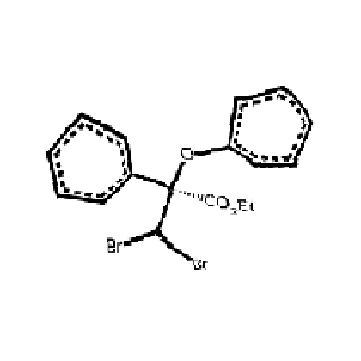 CCOC(=O)[C@@](Oc1ccccc1)(c1ccccc1)C(Br)Br